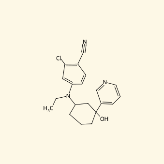 CCN(c1ccc(C#N)c(Cl)c1)C1CCCC(O)(c2cccnc2)C1